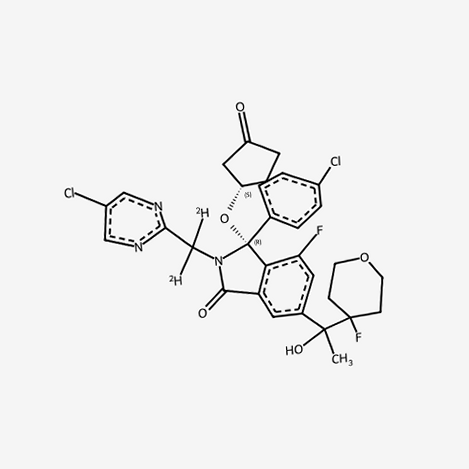 [2H]C([2H])(c1ncc(Cl)cn1)N1C(=O)c2cc(C(C)(O)C3(F)CCOCC3)cc(F)c2[C@]1(O[C@H]1CCC(=O)C1)c1ccc(Cl)cc1